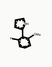 COc1cccc(F)c1-c1ccc[nH]1